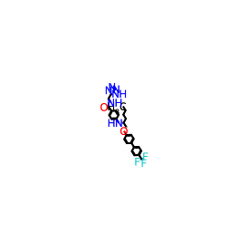 CCCCC(COc1ccc(-c2ccc(C(F)(F)F)cc2)cc1)Nc1ccc(C(=O)NCc2nnn[nH]2)cc1